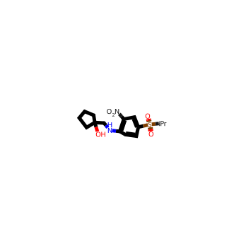 CC(C)S(=O)(=O)c1ccc(NCC2(O)CCCC2)c([N+](=O)[O-])c1